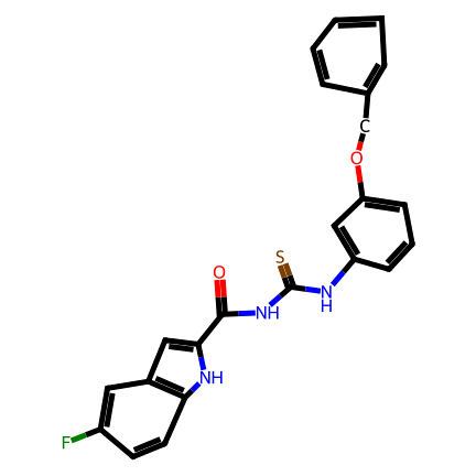 O=C(NC(=S)Nc1cccc(OCc2ccccc2)c1)c1cc2cc(F)ccc2[nH]1